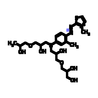 Cc1cc(N(CC(O)COCC(C)O)CC(O)COCC(O)CO)ccc1/N=N/c1scc[n+]1C